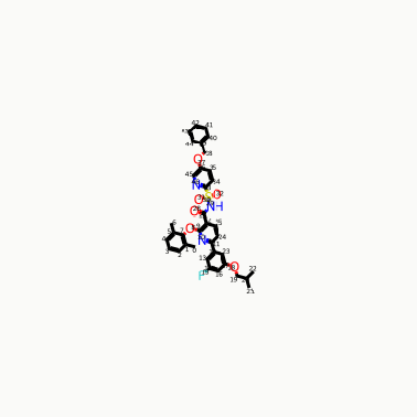 Cc1cccc(C)c1Oc1nc(-c2cc(F)cc(OCC(C)C)c2)ccc1C(=O)NS(=O)(=O)c1ccc(OCc2ccccc2)cn1